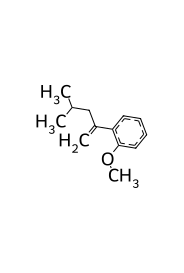 C=C(CC(C)C)c1ccccc1OC